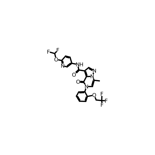 Cc1cn(-c2ccccc2OCC(F)(F)F)c(=O)c2c(C(=O)Nc3ccc(OC(F)F)nc3)cnn12